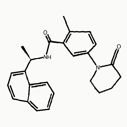 Cc1ccc(N2CCCCC2=O)cc1C(=O)N[C@H](C)c1cccc2ccccc12